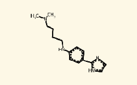 CN(C)CCCCNc1ccc(-c2ncc[nH]2)cc1